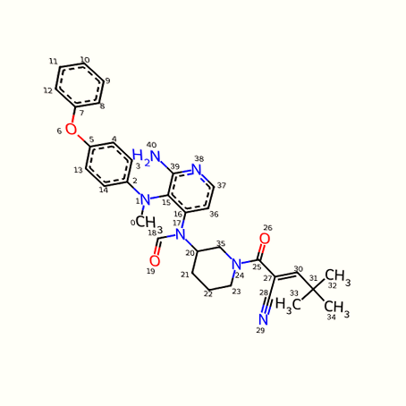 CN(c1ccc(Oc2ccccc2)cc1)c1c(N(C=O)C2CCCN(C(=O)/C(C#N)=C/C(C)(C)C)C2)ccnc1N